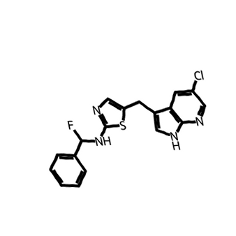 FC(Nc1ncc(Cc2c[nH]c3ncc(Cl)cc23)s1)c1ccccc1